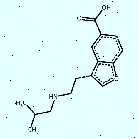 CC(C)CNCCc1coc2ccc(C(=O)O)cc12